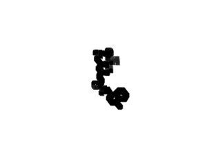 Cc1ccc(CN(C)C(=O)/C=C/c2cnc3c(c2)CN(C)CC(=O)N3)c2ccccc12